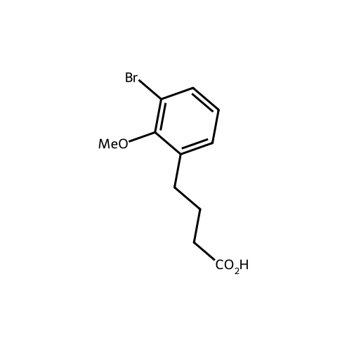 COc1c(Br)cccc1CCCC(=O)O